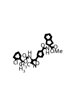 COC(=O)C1(NC(=O)c2ccc(-c3onc(C)c3NC(=O)OC(C)c3ccccc3Cl)cc2)Cc2ccccc2C1